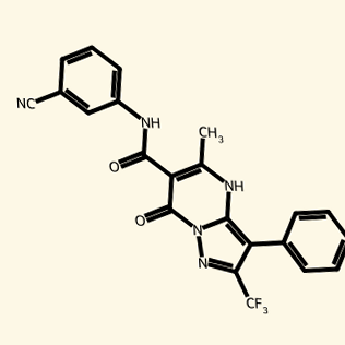 Cc1[nH]c2c(-c3ccccc3)c(C(F)(F)F)nn2c(=O)c1C(=O)Nc1cccc(C#N)c1